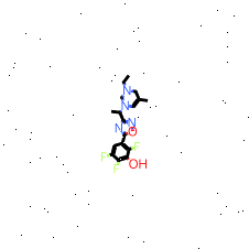 CCN1CC(C)=CN(C(C)c2noc(-c3cc(F)c(F)c(O)c3F)n2)C1